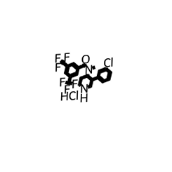 CN(C(=O)c1cc(C(F)(F)F)cc(C(F)(F)F)c1)C1CCNCC1c1cccc(Cl)c1.Cl